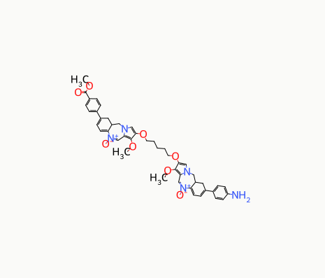 COC(=O)c1ccc(C2=CC=C3C(C2)Cn2cc(OCCCCCOc4cn5c(c4OC)C=[N+]([O-])C4=CC=C(c6ccc(N)cc6)CC4C5)c(OC)c2C=[N+]3[O-])cc1